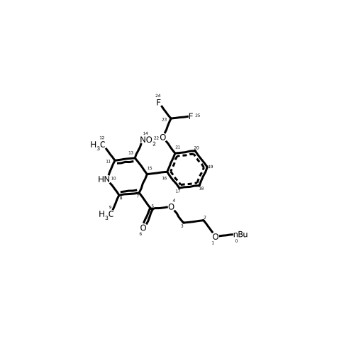 CCCCOCCOC(=O)C1=C(C)NC(C)=C([N+](=O)[O-])C1c1ccccc1OC(F)F